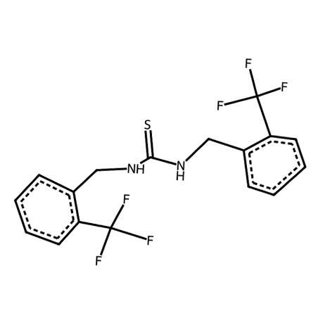 FC(F)(F)c1ccccc1CNC(=S)NCc1ccccc1C(F)(F)F